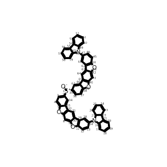 [O-][S+](c1ccc2oc3cc4oc5ccc(N6c7ccccc7C7C=CC=CC76)cc5c4cc3c2c1)c1ccc2oc3cc4oc5ccc(-n6c7ccccc7c7ccccc76)cc5c4cc3c2c1